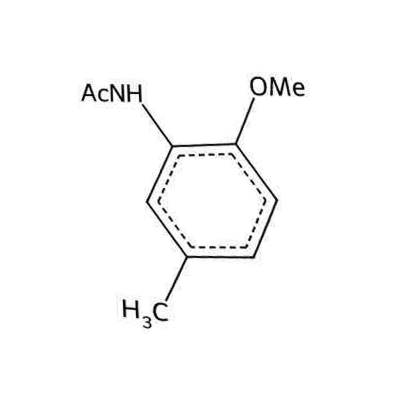 COc1ccc(C)cc1NC(C)=O